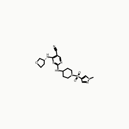 Cn1cc(S(=O)(=O)N2CCC(Nc3ncc(C#N)c(N[C@@H]4CCOC4)n3)CC2)cn1